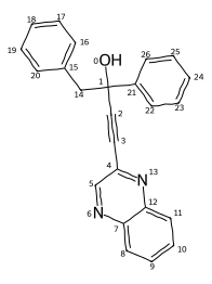 OC(C#Cc1cnc2ccccc2n1)(Cc1ccccc1)c1ccccc1